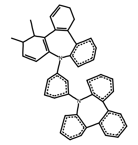 CC1C=CC2=C(C3=C(CCC=C3)c3ccccc3N2c2cccc(N3c4ccccc4-c4ccccc4-c4ccccc43)c2)C1C